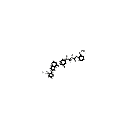 COc1ccccc1CC(=O)NC(=S)Nc1ccc(Oc2ccnc3cc(-c4nccn4C)sc23)c(F)c1